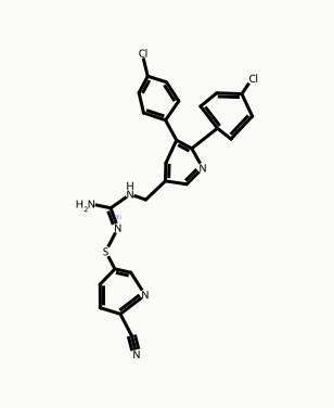 N#Cc1ccc(S/N=C(\N)NCc2cnc(-c3ccc(Cl)cc3)c(-c3ccc(Cl)cc3)c2)cn1